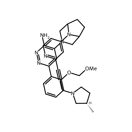 COCOc1ccccc1-c1cc(N2CC3CCC(C2)N3c2ccnc(C#CCN3CC[C@H](C)C3)c2)c(N)nn1